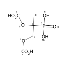 CC(COC(=O)O)(OC(=O)O)P(=O)(O)O